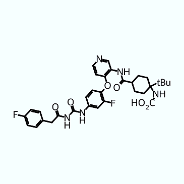 CC(C)(C)C1(NC(=O)O)CCC(C(=O)Nc2cnccc2Oc2ccc(NC(=O)NC(=O)Cc3ccc(F)cc3)cc2F)CC1